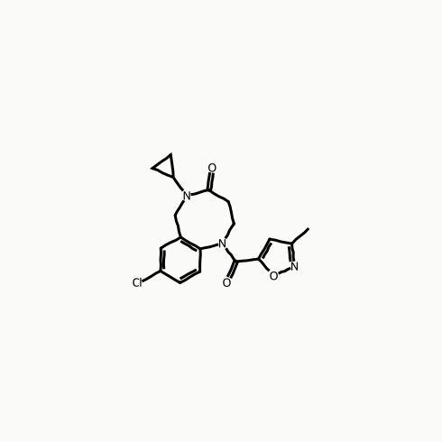 Cc1cc(C(=O)N2CCC(=O)N(C3CC3)Cc3cc(Cl)ccc32)on1